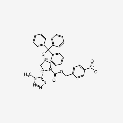 Cn1nnnc1[C@@H]1C[C@H](SC(c2ccccc2)(c2ccccc2)c2ccccc2)CN1C(=O)OCc1ccc([N+](=O)[O-])cc1